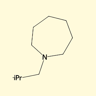 C[C](C)CN1CCCCCC1